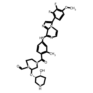 COc1ccc(-c2cnc3c(Nc4ccc(C(=O)N5CCN(C=O)C(O[C@H]6CNCC[C@H]6O)C5)c(C)c4)nccn23)c(F)c1F